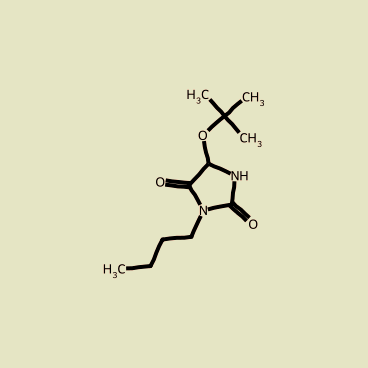 CCCCN1C(=O)NC(OC(C)(C)C)C1=O